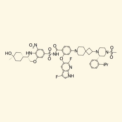 CC(C)c1ccccc1[C@H]1CN(S(C)(=O)=O)CCN1C1CC2(CCN(c3ccc(C(=O)NS(=O)(=O)c4cc5c(c([N+](=O)[O-])c4)N[C@@H]([C@H]4CC[C@](C)(O)CC4)CO5)c(Oc4cc5c(F)c[nH]c5nc4F)c3)CC2)C1